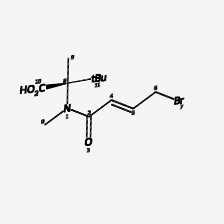 CN(C(=O)/C=C/CBr)[C@@](C)(C(=O)O)C(C)(C)C